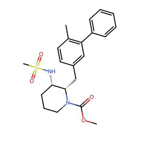 COC(=O)N1CCC[C@H](NS(C)(=O)=O)[C@@H]1Cc1ccc(C)c(-c2ccccc2)c1